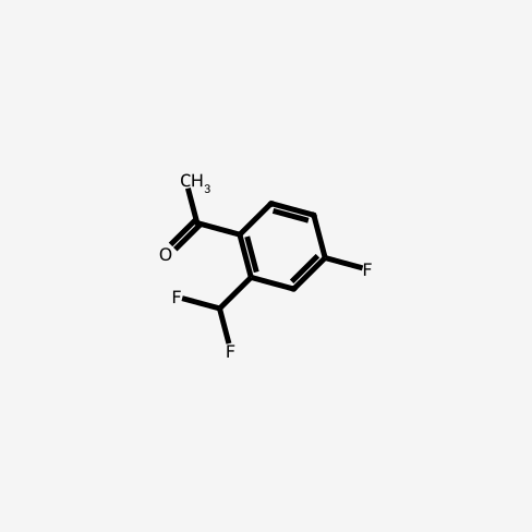 CC(=O)c1ccc(F)cc1C(F)F